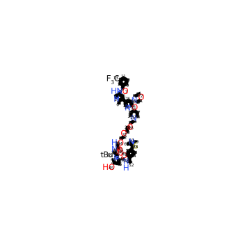 Cc1ncc(NC(=O)c2cccc(C(F)(F)F)c2)cc1-c1cnc(OC2CCN(CCOCCOCCOCC(=O)NC(C(=O)N3C[C@H](O)C[C@H]3C(=O)NC(C)c3ccc(-c4scnc4C)cc3)C(C)(C)C)CC2)c(N2CCOCC2)c1